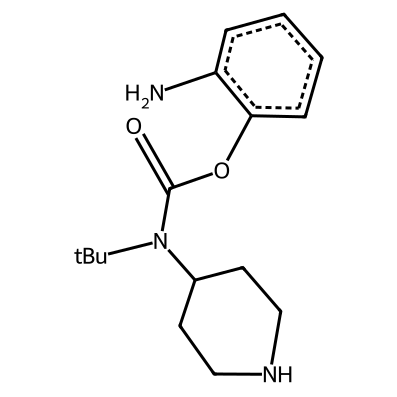 CC(C)(C)N(C(=O)Oc1ccccc1N)C1CCNCC1